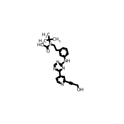 CC(C)(C)N(CCc1cccc(Nc2ncnc(-c3ccnc(C#CCO)c3)n2)c1)C(=O)O